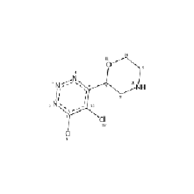 Clc1nnnc(C2CNCCO2)c1Cl